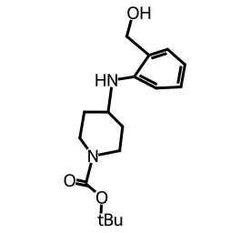 CC(C)(C)OC(=O)N1CCC(Nc2ccccc2CO)CC1